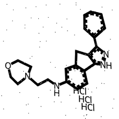 Cl.Cl.Cl.c1ccc(-c2n[nH]c3c2Cc2cc(NCCN4CCOCC4)ccc2-3)cc1